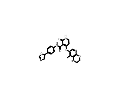 Cc1c(Nc2cc[nH]c(=O)c2C(=O)Nc2ccc(-c3cnco3)cc2)cnc2c1NCCO2